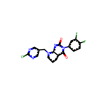 O=c1nc2n(Cc3cnc(Cl)nc3)cccc-2c(=O)n1-c1ccc(F)c(F)c1